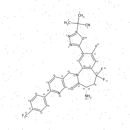 CC(C)(C#N)c1nnc(-c2cc3c(cc2F)C(F)(F)C[C@H](N)C(=O)N3Cc2ccc(-c3ccc(C(F)(F)F)cc3)nc2)o1